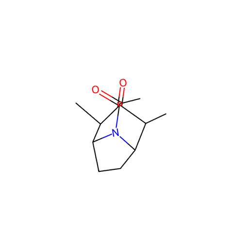 CC(=O)N1C2CCC1C(C)C(=O)C2C